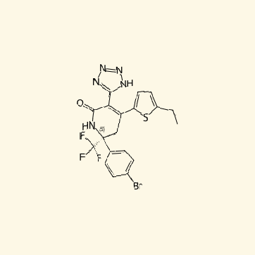 CCc1ccc(C2=C(c3nnn[nH]3)C(=O)N[C@@](c3ccc(Br)cc3)(C(F)(F)F)C2)s1